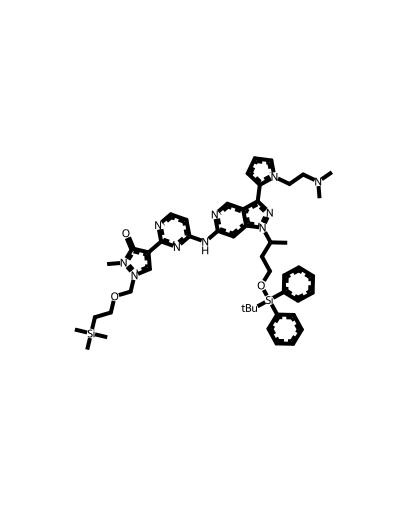 CC(CCO[Si](c1ccccc1)(c1ccccc1)C(C)(C)C)n1nc(-c2cccn2CCN(C)C)c2cnc(Nc3ccnc(-c4cn(COCC[Si](C)(C)C)n(C)c4=O)n3)cc21